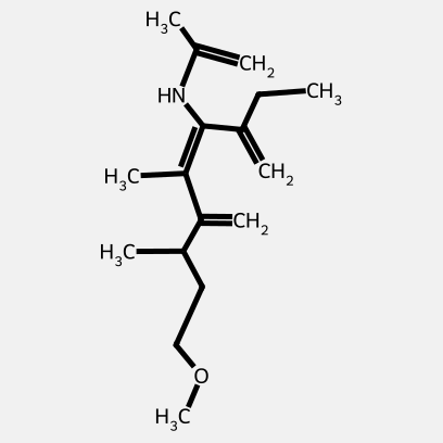 C=C(C)N/C(C(=C)CC)=C(\C)C(=C)C(C)CCOC